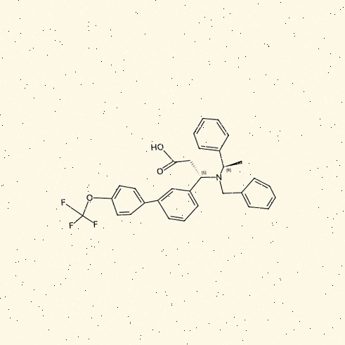 C[C@H](c1ccccc1)N(Cc1ccccc1)[C@@H](CC(=O)O)c1cccc(-c2ccc(OC(F)(F)F)cc2)c1